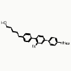 CCCCCCc1ccc(-c2ccc(-c3ccc(CCCCCO)cc3)c(CC)c2)cc1